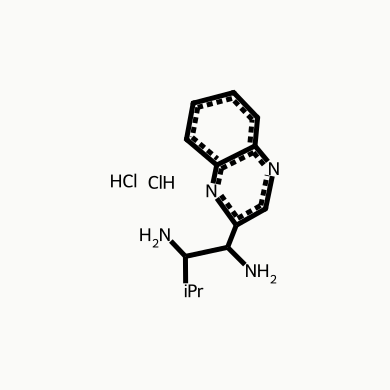 CC(C)C(N)C(N)c1cnc2ccccc2n1.Cl.Cl